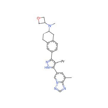 Cc1cc(-c2[nH]nc(-c3ccc4c(c3)CCC(N(C)C3COC3)C4)c2C(C)C)cn2ncnc12